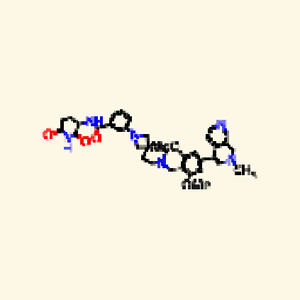 COc1cc(C2=CN(C)Cc3cnccc32)cc(OC)c1CN1CCC2(CC1)CN(c1cccc(C(=O)NC3CCC(=O)NC3=O)c1)C2